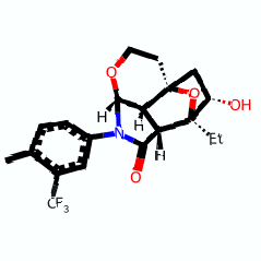 CC[C@@]12O[C@]3(CCO[C@@H]4[C@H]3[C@H]1C(=O)N4c1ccc(C)c(C(F)(F)F)c1)C[C@@H]2O